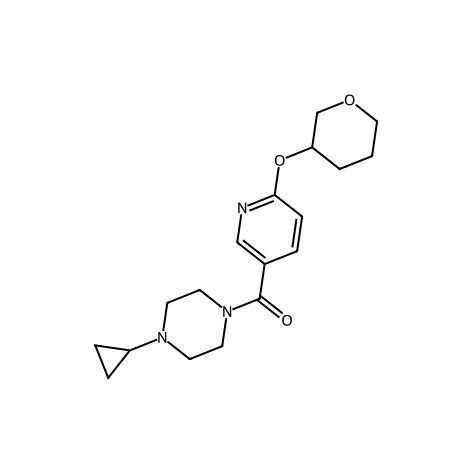 O=C(c1ccc(OC2CCCOC2)nc1)N1CCN(C2CC2)CC1